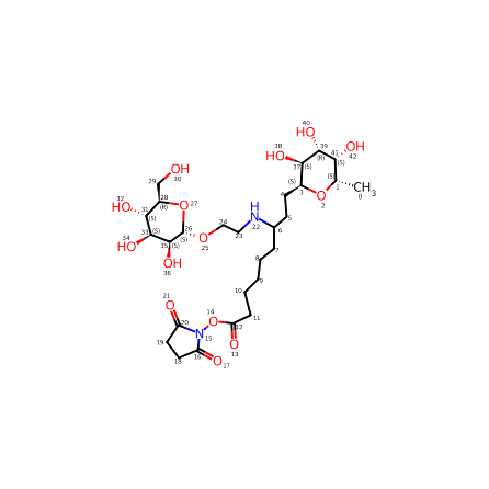 C[C@@H]1O[C@@H](CCC(CCCCCC(=O)ON2C(=O)CCC2=O)NCCO[C@H]2O[C@H](CO)[C@@H](O)[C@H](O)[C@@H]2O)[C@@H](O)[C@H](O)[C@@H]1O